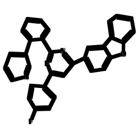 Fc1ccc(-c2cc(-c3ccc4oc5ccccc5c4c3)nc(-c3ccccc3-c3cccnc3)n2)cc1